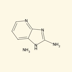 N.Nc1nc2ncccc2[nH]1